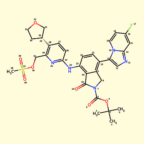 CC(C)(C)OC(=O)N1Cc2c(-c3cnc4cc(F)ccn34)ccc(Nc3ccc([C@@H]4CCOC4)c(COS(C)(=O)=O)n3)c2C1=O